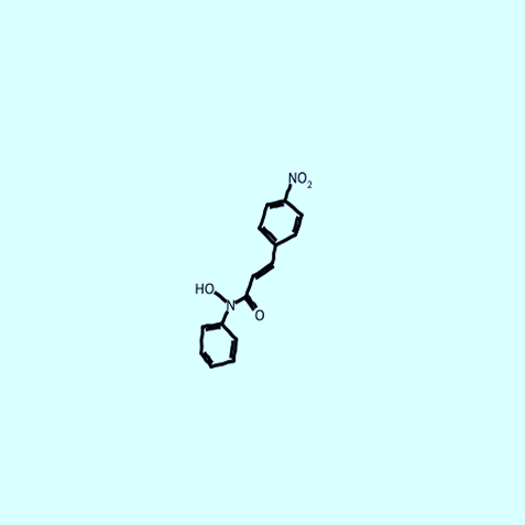 O=C(C=Cc1ccc([N+](=O)[O-])cc1)N(O)c1ccccc1